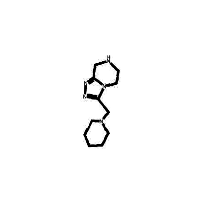 C1CCN(Cc2nnc3n2CCNC3)CC1